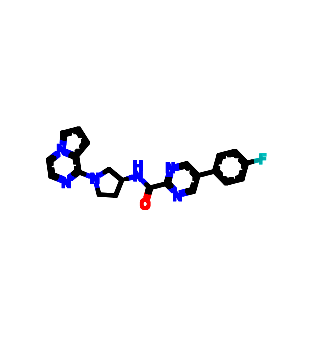 O=C(N[C@H]1CCN(c2nccn3cccc23)C1)c1ncc(-c2ccc(F)cc2)cn1